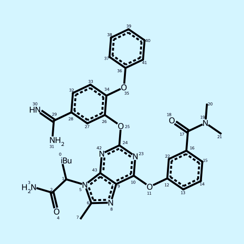 CCC(C)C(C(N)=O)n1c(C)nc2c(Oc3cccc(C(=O)N(C)C)c3)nc(Oc3cc(C(=N)N)ccc3Oc3ccccc3)nc21